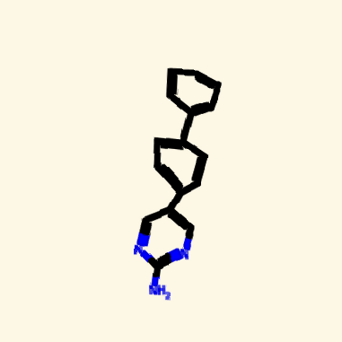 Nc1ncc(-c2ccc(-c3ccccc3)cc2)cn1